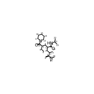 C=C(C(C)CC(CC(CC)C(=O)N1CCCCC1)C(=O)NC(C)C)N(C)C